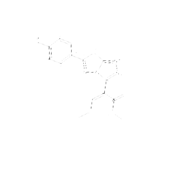 COC=C(C(=O)OC)c1nnc2sc(-c3ccc(Cl)cc3)nn12